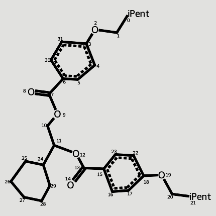 CCCC(C)COc1ccc(C(=O)OCC(OC(=O)c2ccc(OCC(C)CCC)cc2)C2CCCCC2)cc1